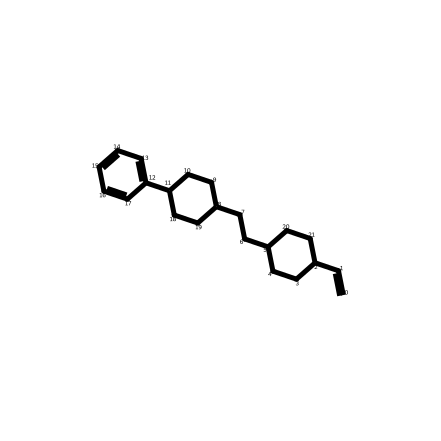 C=CC1CCC(CCC2CCC(c3ccccc3)CC2)CC1